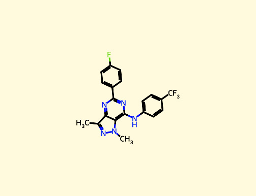 Cc1nn(C)c2c(Nc3ccc(C(F)(F)F)cc3)nc(-c3ccc(F)cc3)nc12